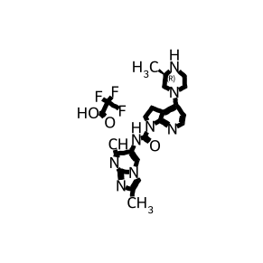 Cc1cn2cc(NC(=O)N3CCc4c(N5CCN[C@H](C)C5)ccnc43)c(C)nc2n1.O=C(O)C(F)(F)F